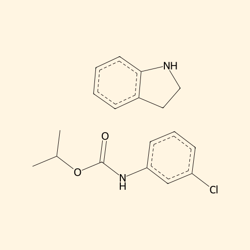 CC(C)OC(=O)Nc1cccc(Cl)c1.c1ccc2c(c1)CCN2